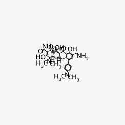 CN(C)c1ccc(-c2cc(CN)c(O)c3c2C[C@@H]2C[C@@H]4C(N(C)C)C(O)=C(C(N)=O)C(=O)[C@]4(O)C(O)=C2C3=O)cc1